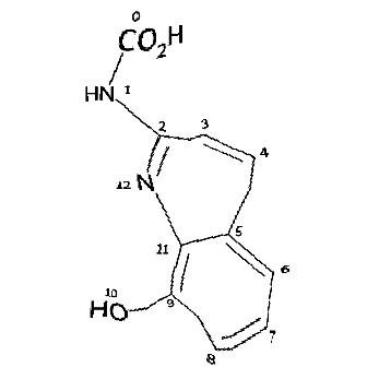 O=C(O)Nc1ccc2cccc(O)c2n1